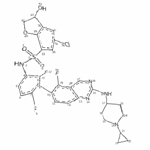 O=S(=O)(Nc1ccc(F)c(-c2ccc3nc(NC4CCN(C5CC5)CC4)ncc3c2F)c1F)c1cc(Cl)cc2c1OCC2O